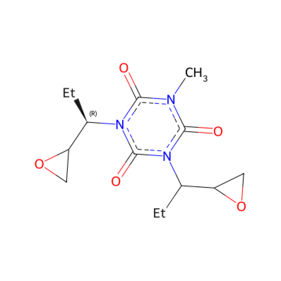 CCC(C1CO1)n1c(=O)n(C)c(=O)n([C@H](CC)C2CO2)c1=O